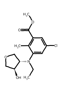 CCN(c1cc(Cl)cc(C(=O)OC)c1C)[C@H]1COC[C@@H]1O